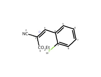 CCOC(=O)/C(C#N)=C\c1ccccc1F